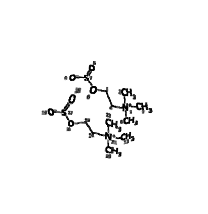 C[N+](C)(C)CCOS(=O)[O-].C[N+](C)(C)CCOS(=O)[O-]